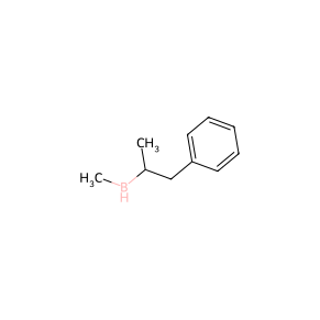 CBC(C)Cc1ccccc1